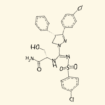 NC(=O)[C@H](CO)N/C(=N\S(=O)(=O)c1ccc(Cl)cc1)N1C[C@H](c2ccccc2)C(c2ccc(Cl)cc2)=N1